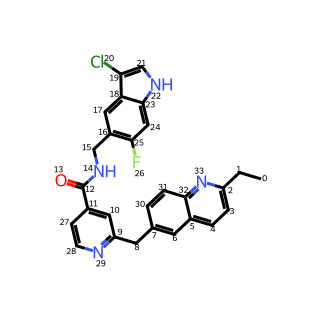 CCc1ccc2cc(Cc3cc(C(=O)NCc4cc5c(Cl)c[nH]c5cc4F)ccn3)ccc2n1